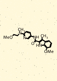 COCCN(C)c1ccc(NC(=O)c2[nH]c3c(OC)cccc3c2C)cn1